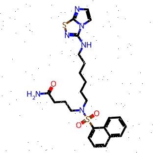 NC(=O)CCCN(CCCCCCNc1nsc2nccn12)S(=O)(=O)c1cccc2ccccc12